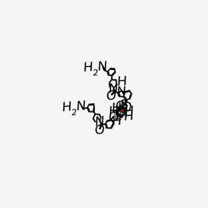 NCc1cccc(C2CCN(C(=O)c3cccc(O[C@H]4C[C@H]5CC[C@@H]4[C@@H]4OB(c6cccc7[nH]c(C(=O)N8CCC(c9cccc(CN)c9)CC8)cc67)O[C@H]54)c3)CC2)c1